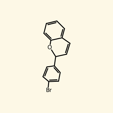 Brc1ccc(C2C=Cc3ccccc3O2)cc1